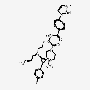 C=CCN(CCC[C@H](NC(=O)c1ccc(N2C=CNN2)cc1)C(=O)N1CCN(C)CC1)C1CC1c1ccc(F)cc1